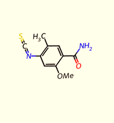 COc1cc(N=C=S)c(C)cc1C(N)=O